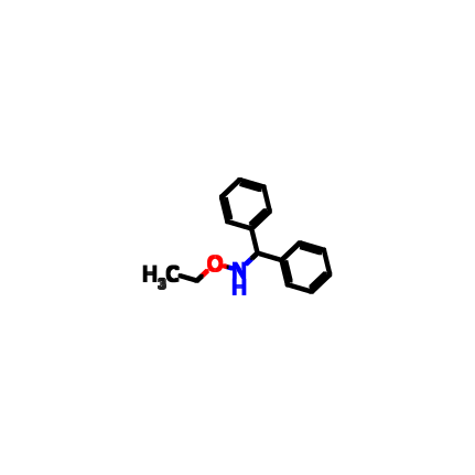 CCONC(c1ccccc1)c1ccccc1